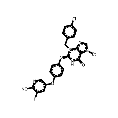 CCn1cnc2c1c(=O)[nH]/c(=N\c1ccc(Oc3cnc(C#N)c(F)c3)cc1)n2Cc1ccc(Cl)cc1